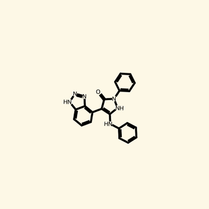 O=c1c(-c2cccc3[nH]nnc23)c(Nc2ccccc2)[nH]n1-c1ccccc1